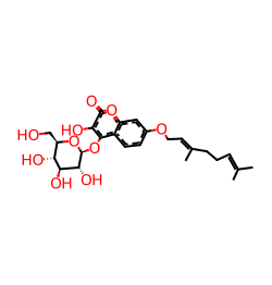 CC(C)=CCC/C(C)=C/COc1ccc2c(O[C@@H]3O[C@H](CO)[C@@H](O)[C@H](O)[C@H]3O)c(O)c(=O)oc2c1